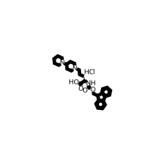 Cl.O=C(N[C@@H](CCCN1CCC(N2CCCCC2)CC1)C(=O)O)OCC1c2ccccc2-c2ccccc21